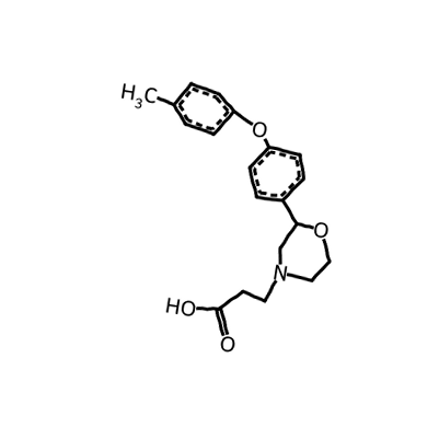 Cc1ccc(Oc2ccc(C3CN(CCC(=O)O)CCO3)cc2)cc1